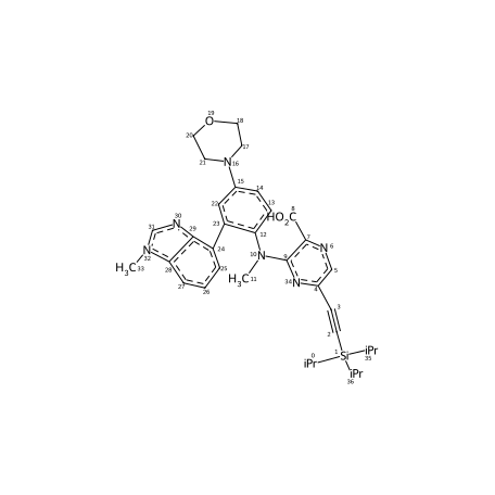 CC(C)[Si](C#Cc1cnc(C(=O)O)c(N(C)c2ccc(N3CCOCC3)cc2-c2cccc3c2ncn3C)n1)(C(C)C)C(C)C